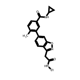 CCNC(=O)Cc1noc2cc(-c3cc(C(=O)NC4CC4)ccc3C)ccc12